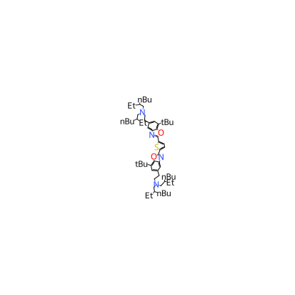 CCCCC(CC)CN(CCc1cc(C(C)(C)C)c2oc(-c3ccc(-c4nc5cc(CCN(CC(CC)CCCC)CC(CC)CCCC)cc(C(C)(C)C)c5o4)s3)nc2c1)CC(CC)CCCC